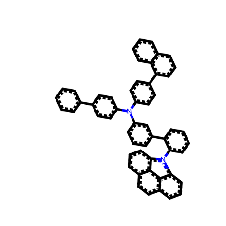 c1ccc(-c2ccc(N(c3ccc(-c4cccc5ccccc45)cc3)c3cccc(-c4ccccc4-n4c5cccc6ccc7cccc4c7c65)c3)cc2)cc1